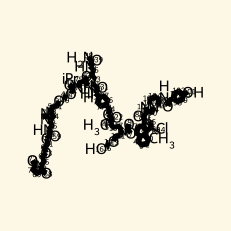 Cc1cccc2c(OC(=O)N(CCOCCO)CCN(C)C(=O)OCc3ccc(NC(=O)[C@H](CCCNC(N)=O)NC(=O)[C@@H](NC(=O)OCCOCCn4cc(CNC(=O)OCCOCCN5C(=O)C=CC5=O)nn4)C(C)C)cc3)cc3c(c12)[C@H](CCl)CN3C(=O)c1cn2cc(NC(=O)c3ccc(O)cc3)ccc2n1